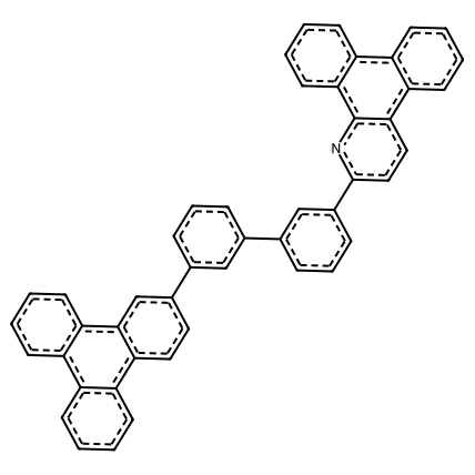 c1cc(-c2cccc(-c3ccc4c5ccccc5c5ccccc5c4n3)c2)cc(-c2ccc3c4ccccc4c4ccccc4c3c2)c1